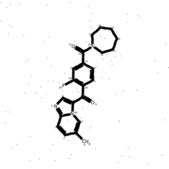 Cc1ccc2ncc(C(=O)c3ccc(C(=O)N4CCCCCC4)cc3F)n2c1